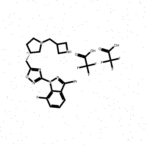 CC(C)c1nn(-c2noc(C[C@@H]3CCN(CC4CNC4)C3)n2)c2c(F)cccc12.O=C(O)C(F)(F)F.O=C(O)C(F)(F)F